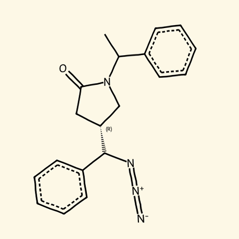 CC(c1ccccc1)N1C[C@H](C(N=[N+]=[N-])c2ccccc2)CC1=O